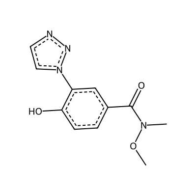 CON(C)C(=O)c1ccc(O)c(-n2ccnn2)c1